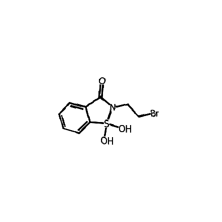 O=C1c2ccccc2S(O)(O)N1CCBr